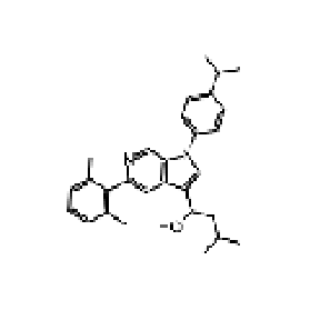 Cc1cccc(C)c1-c1cc2c(C(O)CC(C)C)cn(-c3ccc(C(C)C)cc3)c2cn1